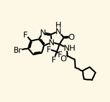 O=C(CCC1CCCC1)NC1(C(F)(F)F)C(=O)Nc2nc3c(F)c(Br)ccc3n21